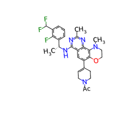 CC(=O)N1CC=C(c2cc3c(N[C@H](C)c4cccc(C(F)F)c4F)nc(C)nc3c3c2OCCN3C)CC1